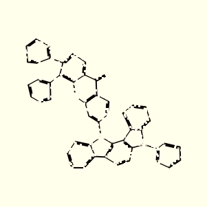 O=c1c2ccc(-n3c4ccccc4c4ccc5c(c6ccccc6n5-c5ccccc5)c43)cc2oc2c(-c3ccccc3)c(-c3ccccc3)ccc12